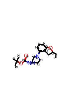 CCC1Cc2c(cccc2N2CC[C@H](NC(=O)OC(C)(C)C)C2)O1